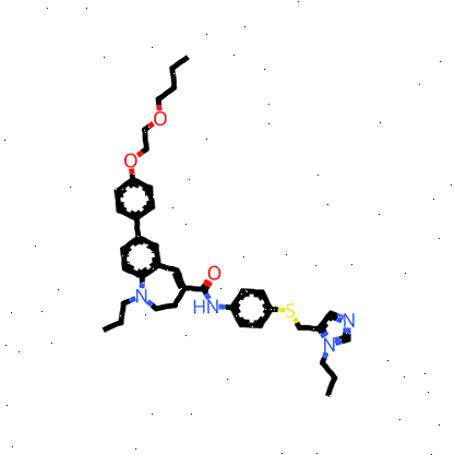 CCCCOCCOc1ccc(-c2ccc3c(c2)C=C(C(=O)Nc2ccc(SCc4cncn4CCC)cc2)CCN3CCC)cc1